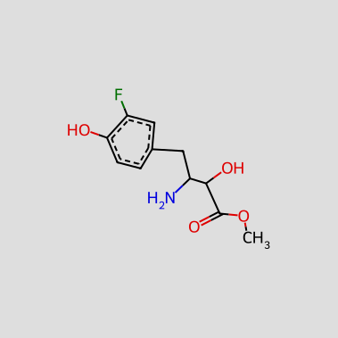 COC(=O)C(O)C(N)Cc1ccc(O)c(F)c1